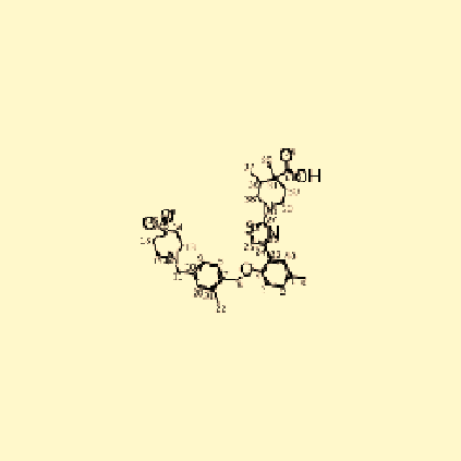 Cc1ccc(OCc2ccc(CN3CCS(=O)(=O)CC3)cc2C)c(-c2csc(N3CCC(C)(C(=O)O)C(C)C3)n2)c1